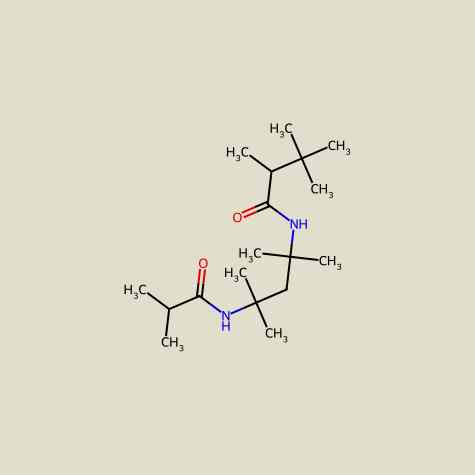 CC(C)C(=O)NC(C)(C)CC(C)(C)NC(=O)C(C)C(C)(C)C